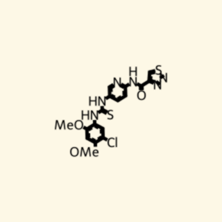 COc1cc(OC)c(NC(=S)Nc2ccc(NC(=O)c3csnn3)nc2)cc1Cl